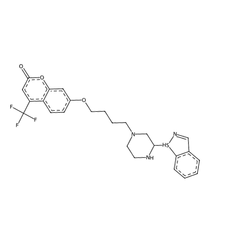 O=c1cc(C(F)(F)F)c2ccc(OCCCCN3CCNC([SH]4N=Cc5ccccc54)C3)cc2o1